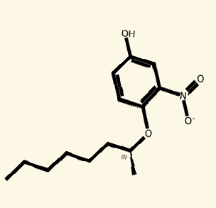 CCCCCC[C@H](C)Oc1ccc(O)cc1[N+](=O)[O-]